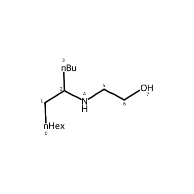 CCCCCCCC(CCCC)NCCO